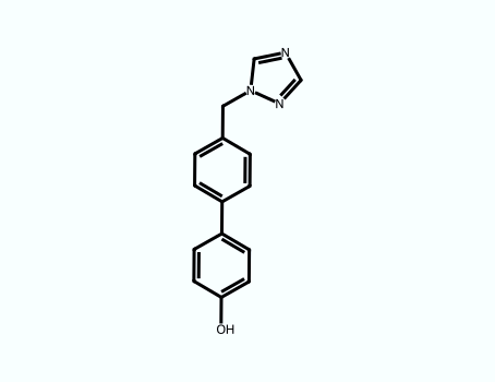 Oc1ccc(-c2ccc(Cn3cncn3)cc2)cc1